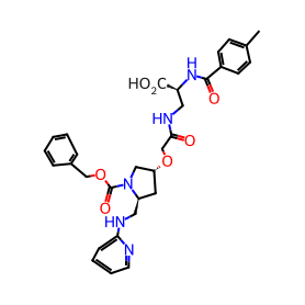 Cc1ccc(C(=O)N[C@@H](CNC(=O)CO[C@@H]2C[C@@H](CNc3ccccn3)N(C(=O)OCc3ccccc3)C2)C(=O)O)cc1